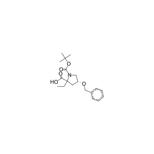 CCC1(C(=O)O)C[C@@H](OCc2ccccc2)CN1C(=O)OC(C)(C)C